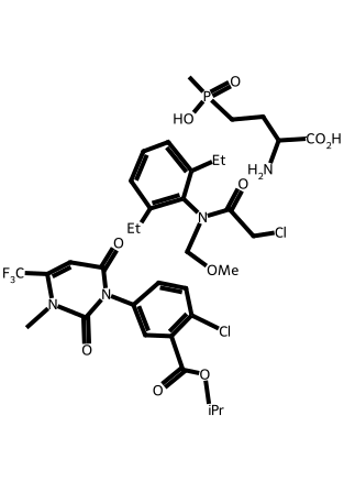 CC(C)OC(=O)c1cc(-n2c(=O)cc(C(F)(F)F)n(C)c2=O)ccc1Cl.CCc1cccc(CC)c1N(COC)C(=O)CCl.CP(=O)(O)CCC(N)C(=O)O